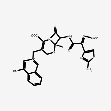 CON=C(C(=O)NC1C(=O)N2C(C(=O)[O-])=C(C[n+]3cc(O)c4ccccc4c3)CS[C@@H]12)c1coc(N)n1